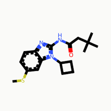 CSc1ccc2nc(NC(=O)CC(C)(C)C)n(C3CCC3)c2c1